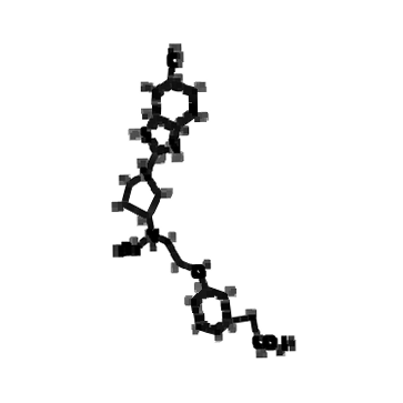 CCCCN(CCOc1cccc(CC(=O)O)c1)C1CCN(c2nc3ccc(Cl)cc3s2)C1